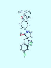 CC1(Cc2ccc(Cl)cc2Cl)CCN([C@H]2CC[C@@H](O[Si](C)(C)C(C)(C)C)CC2)C1=O